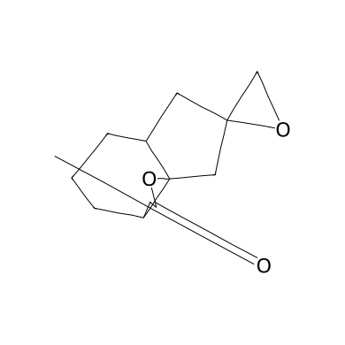 O=C1CC2CCCC3CC4(CO4)CC23O1